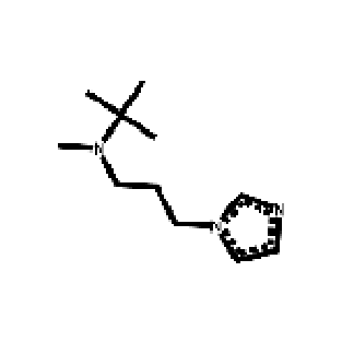 CN(CCCn1ccnc1)C(C)(C)C